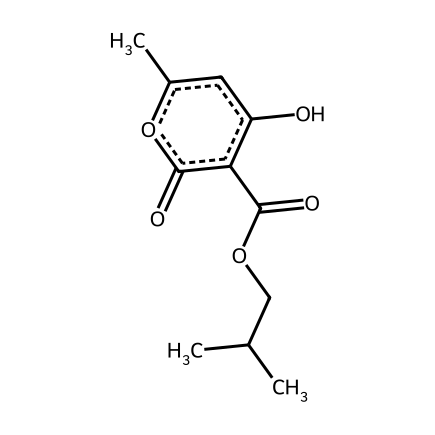 Cc1cc(O)c(C(=O)OCC(C)C)c(=O)o1